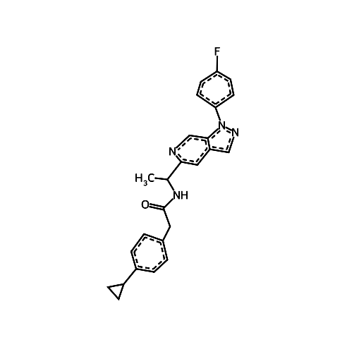 CC(NC(=O)Cc1ccc(C2CC2)cc1)c1cc2cnn(-c3ccc(F)cc3)c2cn1